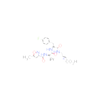 Cc1cc(C(=O)N[C@H](C(=O)N[C@@H](Cc2ccc(F)cc2)C(=O)NC/C=C/C(=O)O)C(C)C)no1